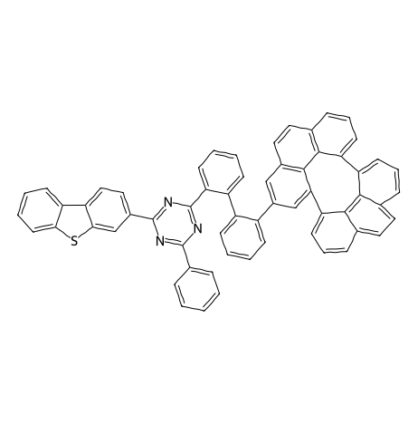 c1ccc(-c2nc(-c3ccc4c(c3)sc3ccccc34)nc(-c3ccccc3-c3ccccc3-c3cc4ccc5cccc6c7cccc8ccc9cccc(c(c3)c4c56)c9c87)n2)cc1